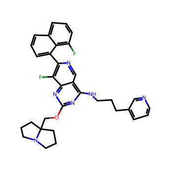 Fc1c(-c2cccc3cccc(F)c23)ncc2c(NCCCc3cccnc3)nc(OCC34CCCN3CCC4)nc12